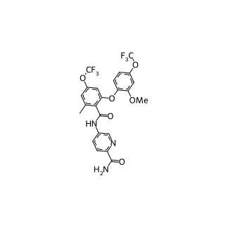 COc1cc(OC(F)(F)F)ccc1Oc1cc(OC(F)(F)F)cc(C)c1C(=O)Nc1ccc(C(N)=O)nc1